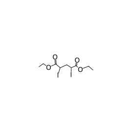 CCOC(=O)C(I)CC(I)C(=O)OCC